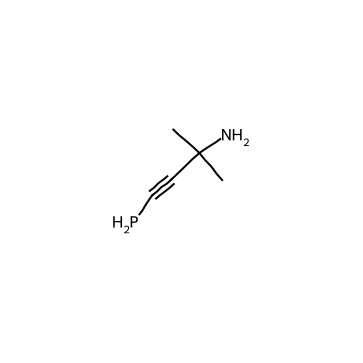 CC(C)(N)C#CP